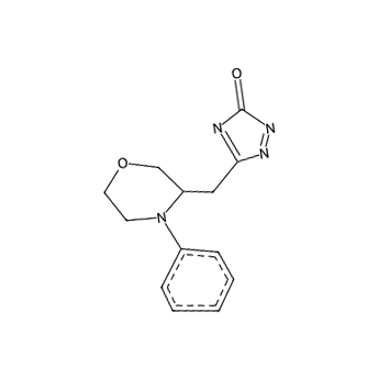 O=C1N=NC(CC2COCCN2c2ccccc2)=N1